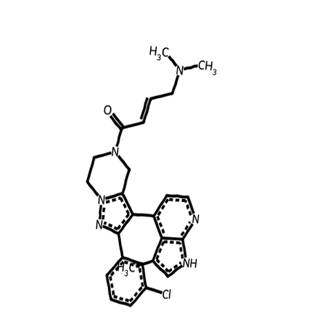 Cc1c[nH]c2nccc(-c3c(-c4cccc(Cl)c4)nn4c3CN(C(=O)/C=C/CN(C)C)CC4)c12